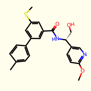 COc1ccc([C@@H](CO)NC(=O)c2cc(SC)cc(-c3ccc(C)cc3)c2)cn1